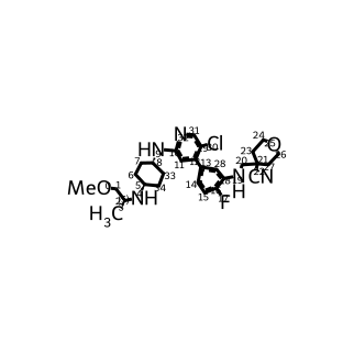 COC[C@H](C)N[C@H]1CC[C@H](Nc2cc(-c3ccc(F)c(NCC4(C#N)CCOCC4)c3)c(Cl)cn2)CC1